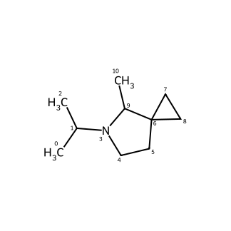 CC(C)N1CCC2(CC2)C1C